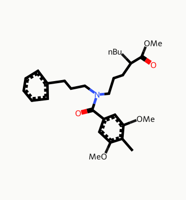 CCCCC(CCCN(CCCc1ccccc1)C(=O)c1cc(OC)c(C)c(OC)c1)C(=O)OC